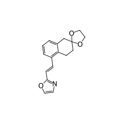 C(=Cc1cccc2c1CCC1(C2)OCCO1)c1ncco1